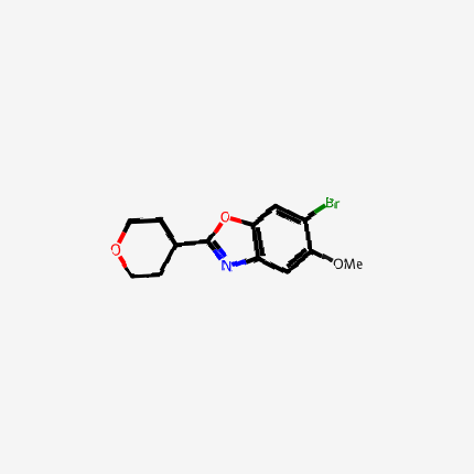 COc1cc2nc(C3CCOCC3)oc2cc1Br